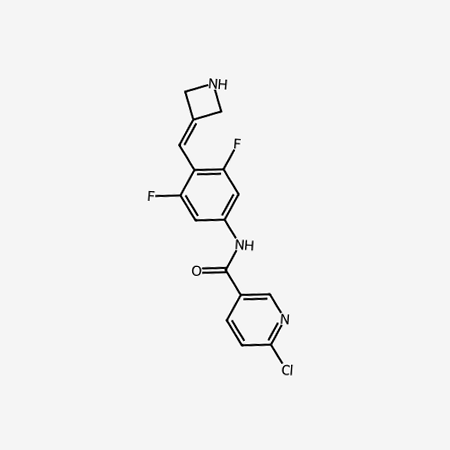 O=C(Nc1cc(F)c(C=C2CNC2)c(F)c1)c1ccc(Cl)nc1